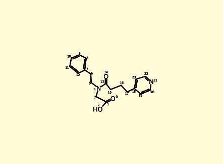 O=C(O)CN(CCc1ccccc1)C(=O)CCCc1ccncc1